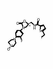 O=C(NC[C@H]1CN(c2ccc(N3CC[S+]([O-])CC3)c(F)c2)C(=O)O1)c1ccc(CI)s1